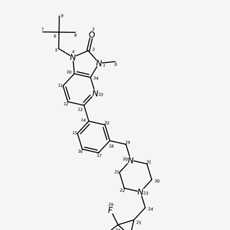 Cn1c(=O)n(CC(C)(C)C)c2ccc(-c3cccc(CN4CCN(CC5CC5(F)F)CC4)c3)nc21